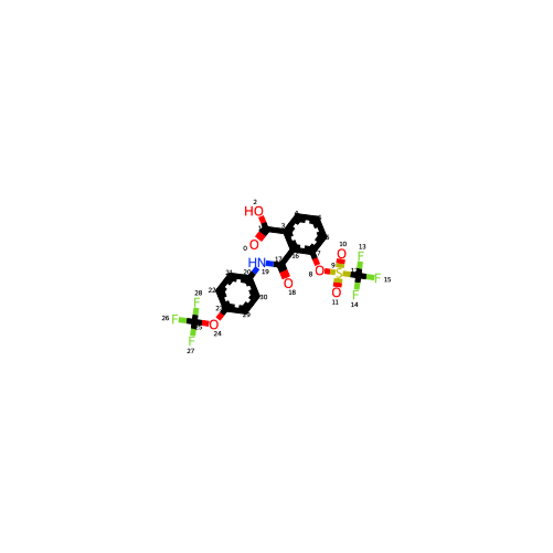 O=C(O)c1cccc(OS(=O)(=O)C(F)(F)F)c1C(=O)Nc1ccc(OC(F)(F)F)cc1